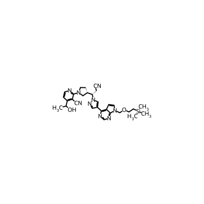 CC(O)c1ccnc(N2CC[C@H]([C@H](CC#N)n3cc(-c4ncnc5c4ccn5COCC[Si](C)(C)C)cn3)C2)c1C#N